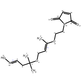 C/C(=C\COC(C)(C)C/C=N/O)OCCN1C(=O)C=CC1=O